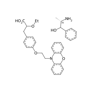 CCOC(Cc1ccc(OCCN2c3ccccc3Oc3ccccc32)cc1)C(=O)O.C[C@H](N)C(O)c1ccccc1